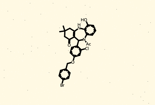 CC(=O)N1c2cccc(O)c2NC2=C(C(=O)CC(C)(C)C2)C1c1ccc(OCc2ccc(Br)cc2)cc1Cl